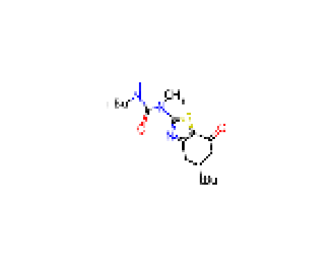 CCCCNC(=O)N(C)c1nc2c(s1)C(=O)CC(C(C)(C)C)C2